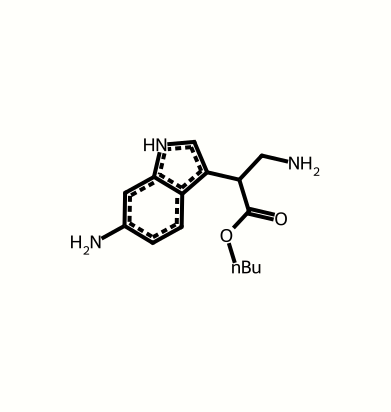 CCCCOC(=O)C(CN)c1c[nH]c2cc(N)ccc12